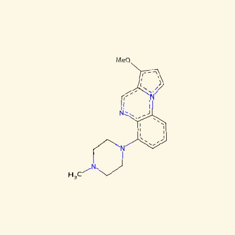 COc1ccn2c1cnc1c(N3CCN(C)CC3)cccc12